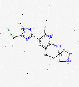 Cc1nc2c(cc1-c1nc(C(F)F)n(C)n1)CCC1(CCNC1)N2